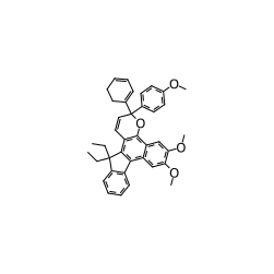 CCC1(CC)c2ccccc2-c2c1c1c(c3cc(OC)c(OC)cc23)OC(C2=CC=CCC2)(c2ccc(OC)cc2)C=C1